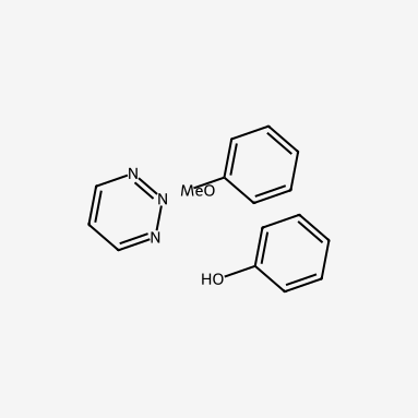 COc1ccccc1.Oc1ccccc1.c1cnnnc1